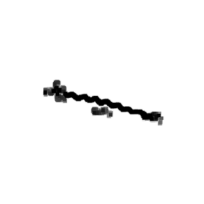 CCCCCCCCCCCCCCCCOP(=O)(O)O.[GaH3]